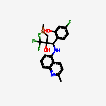 CSCC(O)(C(Nc1cccc2nc(C)ccc12)c1ccc(F)cc1O)C(F)(F)F